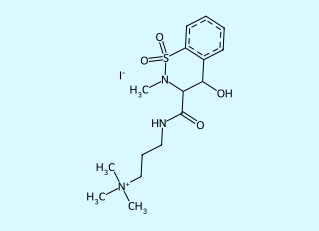 CN1C(C(=O)NCCC[N+](C)(C)C)C(O)c2ccccc2S1(=O)=O.[I-]